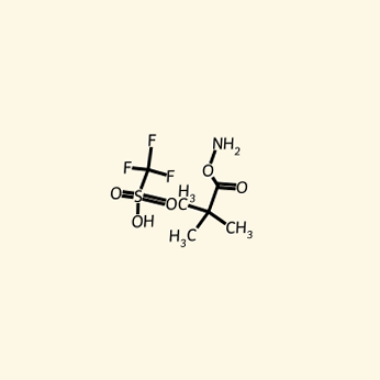 CC(C)(C)C(=O)ON.O=S(=O)(O)C(F)(F)F